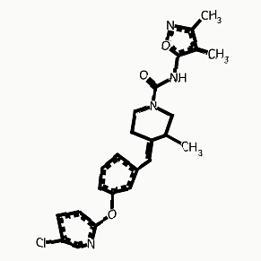 Cc1noc(NC(=O)N2CC/C(=C\c3cccc(Oc4ccc(Cl)cn4)c3)C(C)C2)c1C